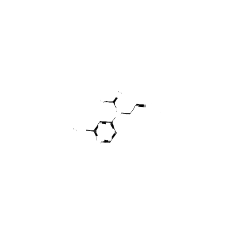 C=CCN(C(=N)N)c1ccnc(C#N)c1